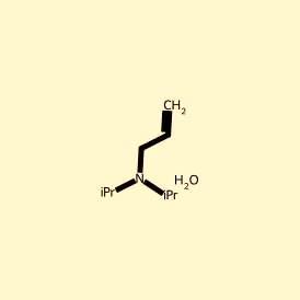 C=CCN(C(C)C)C(C)C.O